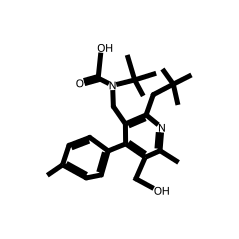 Cc1ccc(-c2c(CO)c(C)nc(CC(C)(C)C)c2CN(C(=O)O)C(C)(C)C)cc1